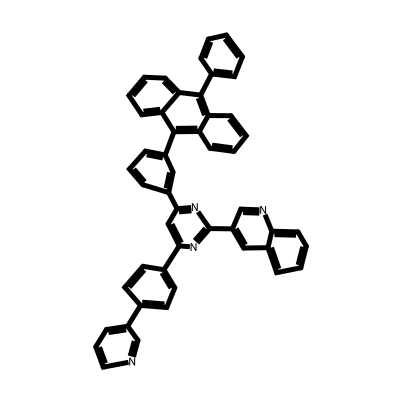 c1ccc(-c2c3ccccc3c(-c3cccc(-c4cc(-c5ccc(-c6cccnc6)cc5)nc(-c5cnc6ccccc6c5)n4)c3)c3ccccc23)cc1